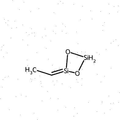 CC=[Si]1O[SiH2]O1